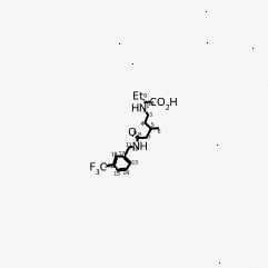 CC[C@@H](NCCC(C)CC(=O)NCc1cccc(C(F)(F)F)c1)C(=O)O